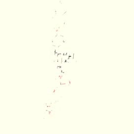 CC1C=C(COc2ccc3c(c2)CC[C@@H]2[C@@H]3CC[C@]3(C)[C@H](OC(=O)OCC4COC(C)(C)O4)CC[C@@H]23)C=CC1